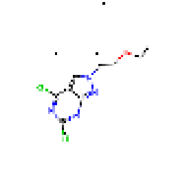 CCOCCn1cc2c(Cl)nc(Cl)nc2n1